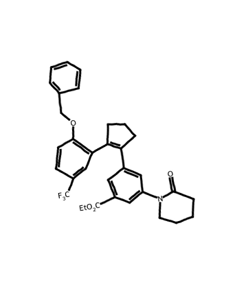 CCOC(=O)c1cc(C2=C(c3cc(C(F)(F)F)ccc3OCc3ccccc3)CCC2)cc(N2CCCCC2=O)c1